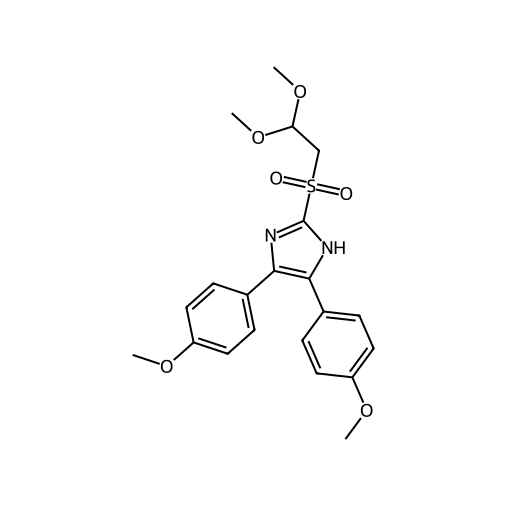 COc1ccc(-c2nc(S(=O)(=O)CC(OC)OC)[nH]c2-c2ccc(OC)cc2)cc1